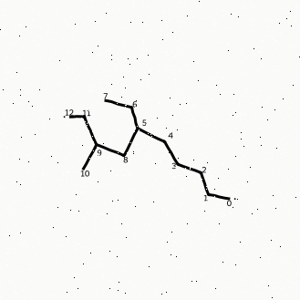 [CH2]CCCCC(CC)CC(C)C[CH2]